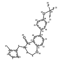 Cn1ccnc1CN1CCOc2ccc(-c3ccc(OC(F)(F)F)cc3)cc2C1=O